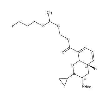 CC(=O)N[C@H]1C[C@H]2C=CC=C(C(=O)OCOC(O)OCCCI)C2OB1C1CC1